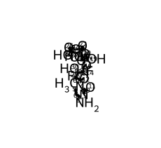 C[C@]1(F)[C@H](n2ccc(N)nc2=O)O[C@](F)(COP(=O)(O)OP(=O)(O)OP(=O)(O)O)[C@H]1O